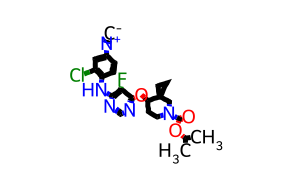 [C-]#[N+]c1ccc(Nc2ncnc(OC3CCN(C(=O)OC(C)C)CC34CC4)c2F)c(Cl)c1